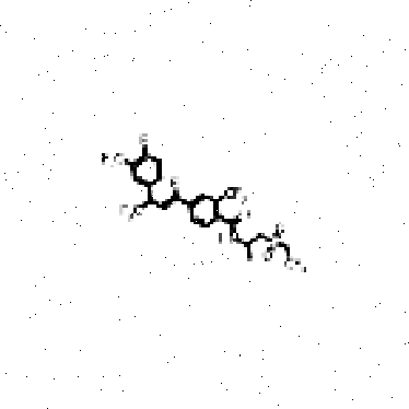 CC(CS(=O)(=O)CC(F)(F)F)NC(=O)c1ccc(/C(F)=C/C(c2ccc(F)c(C(F)(F)F)c2)C(F)(F)F)cc1C(F)(F)F